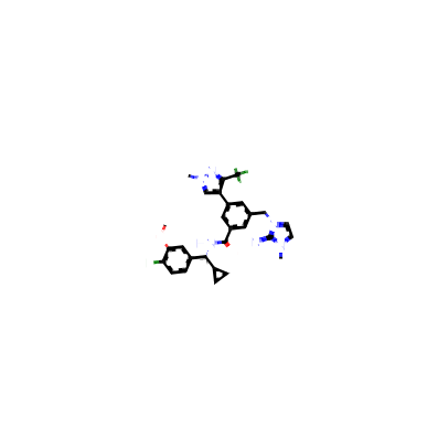 COc1cc([C@@H](NC(=O)c2cc(Cn3ccn(C)c3=N)cc(-c3cn(C)nc3C(F)(F)F)c2)C2CC2)ccc1F